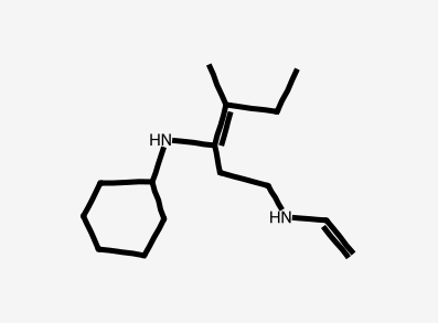 C=CNCC/C(NC1CCCCC1)=C(/C)CC